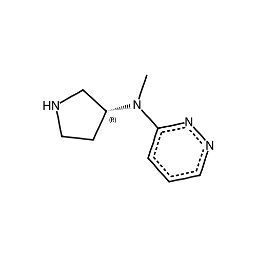 CN(c1cccnn1)[C@@H]1CCNC1